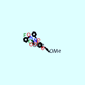 COCC#CCOc1ccc(S(=O)(=O)N2Cc3ccccc3N(C(=O)c3c(F)cccc3Cl)CC2C(=O)OC)cc1